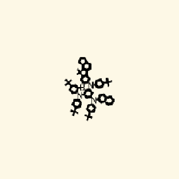 CC(C)(C)c1ccc(N(c2cc3c4c(c2)N(c2ccc(C(C)(C)C)cc2)c2cc5c(cc2B4c2cc(C(C)(C)C)ccc2N3c2ccc(C(C)(C)C)cc2)C(C)(C)c2c-5ccc3c2CCC3)c2ccc3ccccc3c2)cc1